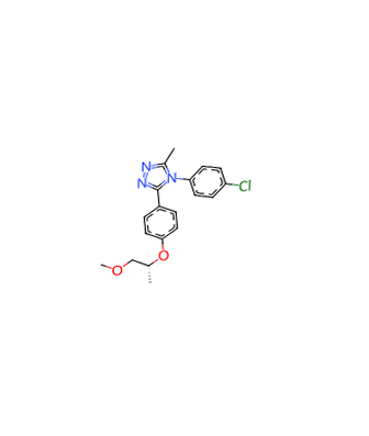 COC[C@@H](C)Oc1ccc(-c2nnc(C)n2-c2ccc(Cl)cc2)cc1